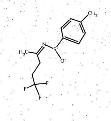 CC(CCC(F)(F)F)=N[S+]([O-])c1ccc(C)cc1